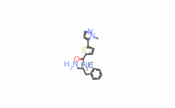 Cn1nccc1-c1ccc(C(=O)NC(CN)Cc2ccccc2C(F)(F)F)s1